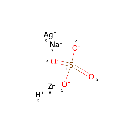 O=S(=O)([O-])[O-].[Ag+].[H+].[Na+].[Zr]